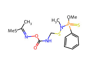 COP(=S)(c1ccccc1)N(C)SCNC(=O)O/N=C(\C)SC